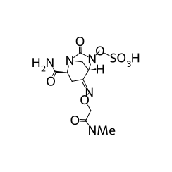 CNC(=O)CON=C1C[C@@H](C(N)=O)N2C[C@@H]1N(OS(=O)(=O)O)C2=O